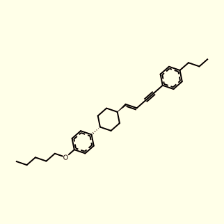 CCCCCOc1ccc([C@H]2CC[C@H](C=CC#Cc3ccc(CCC)cc3)CC2)cc1